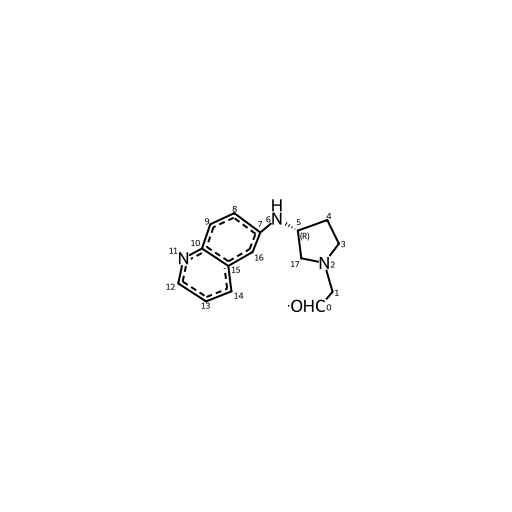 O=[C]CN1CC[C@@H](Nc2ccc3ncccc3c2)C1